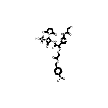 O=C(CCl)Nc1nc(/C(=N/OCC(=O)OCc2ccc([N+](=O)[O-])cc2)C(=O)N[C@@H]2C(=O)N(S(=O)(=O)O)[C@@H]2N2C(=O)CCC2=O)cs1